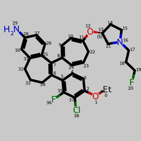 CCOc1ccc(C2=C(C3=CC=C(O[C@H]4CCN(CCCF)C4)CC=C3)c3ccc(N)cc3CCC2)c(F)c1Cl